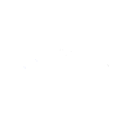 CC1(C)c2cc(-c3ccc(C#N)cc3)ccc2-c2ccc(-c3ccc4ccc5cccnc5c4n3)cc21